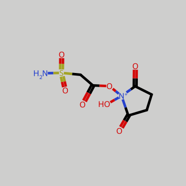 NS(=O)(=O)CC(=O)O[N+]1(O)C(=O)CCC1=O